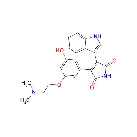 CN(C)CCOc1cc(O)cc(C2=C(c3c[nH]c4ccccc34)C(=O)NC2=O)c1